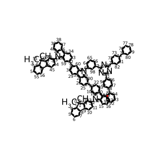 CC1(C)c2ccccc2-c2ccc(-n3c4ccccc4c4ccc(-c5ccc6c7ccc(-c8ccc9c%10ccccc%10n(-c%10ccc%11c(c%10)C(C)(C)c%10ccccc%10-%11)c9c8)cc7n(-c7cccc(-c8nc(-c9ccc(-c%10ccccc%10)cc9)nc(-c9ccc(-c%10ccccc%10)cc9)n8)c7)c6c5)cc43)cc21